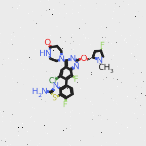 CN1C[C@H](F)C[C@H]1COc1nc(N2CCNC(=O)CC2)c2cc(Cl)c(-c3ccc(F)c4sc(N)nc34)c(F)c2n1